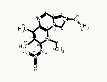 CCN1C2=C(N=CC3=CN(OC)CN32)C(C)=C(C)C1N=S(=O)=O